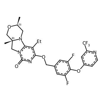 CCc1c(OCc2cc(F)c(Oc3ccnc(C(F)(F)F)c3)c(F)c2)nc(=O)n2c1N1C[C@H](C)OC[C@@]1(C)C2